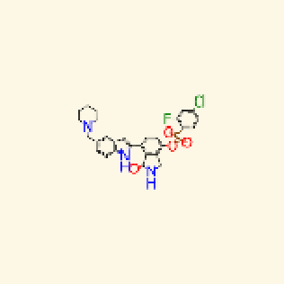 O=C1NCc2c(OS(=O)(=O)c3ccc(Cl)cc3F)ccc(-c3cc4cc(CN5CCCCC5)ccc4[nH]3)c21